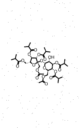 CC(=O)OC[C@H]1O[C@H](O[C@]2(COC(C)=O)O[C@H](COC(=O)C(C)C)[C@@H](OC(=O)C(C)C)[C@@H]2OC(=O)C(C)C)[C@H](O)[C@@H](OC(=O)C(C)C)[C@@H]1OC(=O)C(C)C